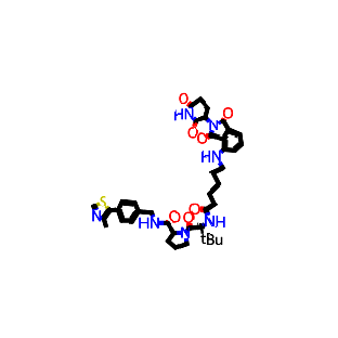 Cc1ncsc1-c1ccc(CNC(=O)C2CCCN2C(=O)[C@@H](NC(=O)CCCCCNc2cccc3c2C(=O)N(C2CCC(=O)NC2=O)C3=O)C(C)(C)C)cc1